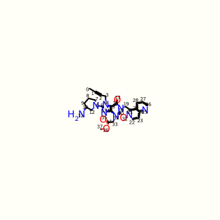 CC#CCn1c(N2CCCC(N)C2)nc2c1c(=O)n(Cc1nccc3ncccc13)c(=O)n2CC(=O)OC